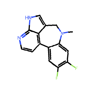 CN1Cc2c[nH]c3nccc(c23)-c2cc(F)c(F)cc21